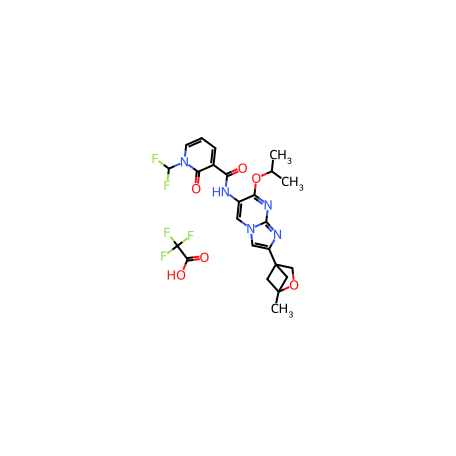 CC(C)Oc1nc2nc(C34COC(C)(C3)C4)cn2cc1NC(=O)c1cccn(C(F)F)c1=O.O=C(O)C(F)(F)F